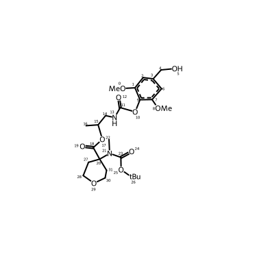 COc1cc(CO)cc(OC)c1OC(=O)NCC(C)OC(=O)C1(N(C)C(=O)OC(C)(C)C)CCOCC1